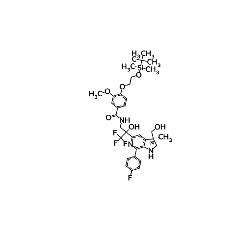 COc1cc(C(=O)NCC(O)(c2cc3c(c(-c4ccc(F)cc4)n2)NC[C@]3(C)CO)C(F)(F)F)ccc1OCCO[Si](C)(C)C(C)(C)C